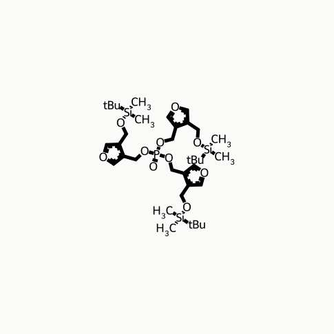 CC(C)(C)[Si](C)(C)OCc1cocc1COP(=O)(OCc1cocc1CO[Si](C)(C)C(C)(C)C)OCc1cocc1CO[Si](C)(C)C(C)(C)C